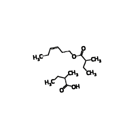 CC/C=C\CCOC(=O)C(C)CC.CCC(C)C(=O)O